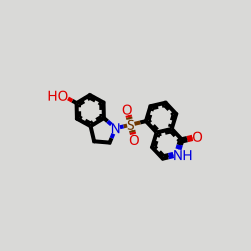 O=c1[nH]ccc2c(S(=O)(=O)N3CCc4cc(O)ccc43)cccc12